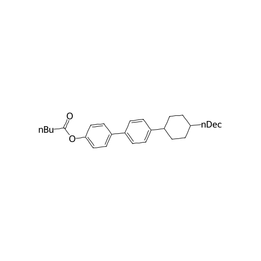 CCCCCCCCCCC1CCC(c2ccc(-c3ccc(OC(=O)CCCC)cc3)cc2)CC1